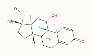 CCCC[C@]1(SCC)CC[C@H]2[C@@H]3CCC4=CC(=O)C=C[C@]4(C)[C@@]3(F)[C@@H](O)C[C@@]21C